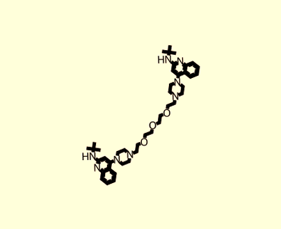 CC(C)(C)Nc1cc(N2CCN(CCOCCOCCOCCN3CCN(c4cc(NC(C)(C)C)nc5ccccc45)CC3)CC2)c2ccccc2n1